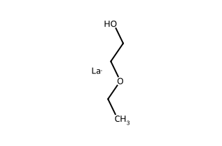 CCOCCO.[La]